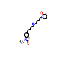 Cn1c(=O)sc2cc(CCCCNCCCCN3CCCCC3=O)ccc21